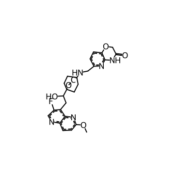 COc1ccc2ncc(F)c(CC(O)C34CCC(NCc5ccc6c(n5)NC(=O)CO6)(CC3)CO4)c2n1